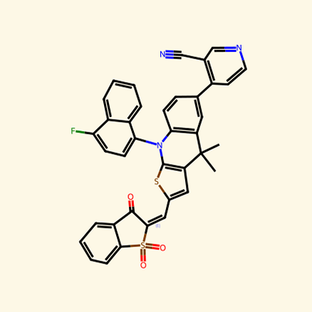 CC1(C)c2cc(-c3ccncc3C#N)ccc2N(c2ccc(F)c3ccccc23)c2sc(/C=C3\C(=O)c4ccccc4S3(=O)=O)cc21